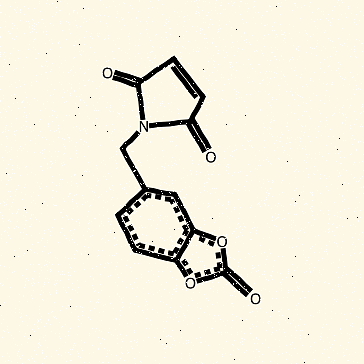 O=C1C=CC(=O)N1Cc1ccc2oc(=O)oc2c1